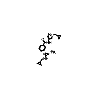 Cl.Cl.O=C(Nc1cnn(CC2CC2)c1)c1cccc([C@@H]2C[C@H]2NCC2CC2)c1